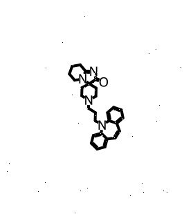 O=C1N=C2CCCCN2C12CCN(CCCN1c3ccccc3C=Cc3ccccc31)CC2